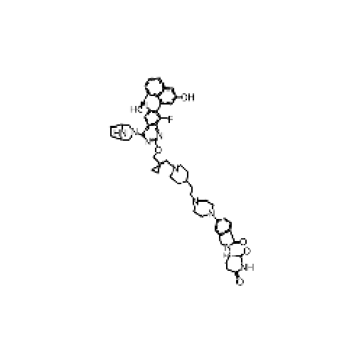 C#Cc1cccc2cc(O)cc(-c3c(Cl)cc4c(N5CC6CCC(C5)N6)nc(OCC5(CN6CCC(CCN7CCN(c8ccc9c(c8)CN([C@H]8CCC(=O)NC8=O)C9=O)CC7)CC6)CC5)nc4c3F)c12